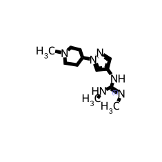 C/N=C(\NC)Nc1cnn(C2CCN(C)CC2)c1